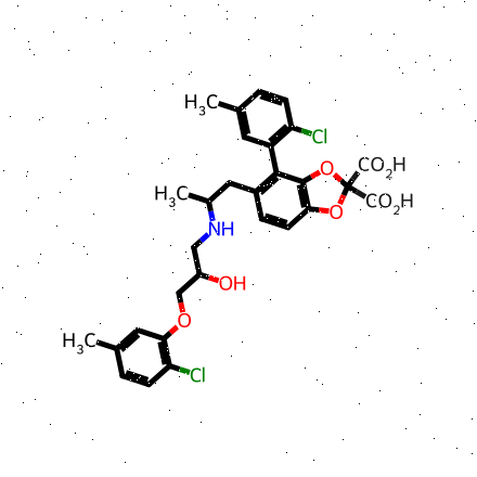 Cc1ccc(Cl)c(OCC(O)CNC(C)Cc2ccc3c(c2-c2cc(C)ccc2Cl)OC(C(=O)O)(C(=O)O)O3)c1